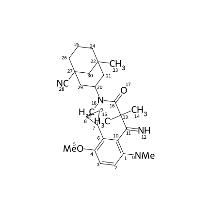 CNc1ccc(OC)c(C2CC2)c1C(=N)C(C)(C)C(=O)N(C)C1CC2(C)CCCC(C#N)(C1)C2